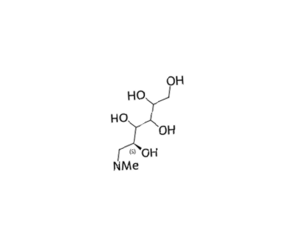 CNC[C@H](O)C(O)C(O)C(O)CO